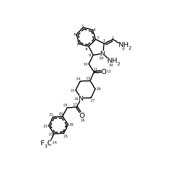 N/C=C1/c2ccccc2C(CC(=O)C2CCN(C(=O)Cc3ccc(C(F)(F)F)cc3)CC2)N1N